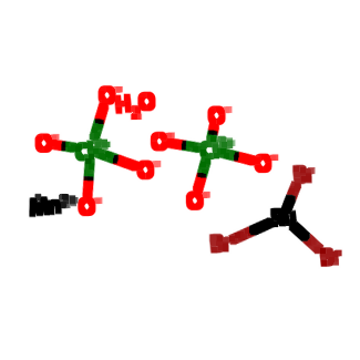 O.[Br][Ru]([Br])[Br].[Mn+2].[O-][Cl+3]([O-])([O-])[O-].[O-][Cl+3]([O-])([O-])[O-]